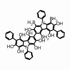 Bc1c(-c2c(O)c(O)c3c(c2O)c2c(O)c(-c4ccccc4)c(O)c(O)c2n3-c2ccccc2)c(O)c(B)c2c1c1c(O)c(-c3ccccc3)c(O)c(B)c1n2-c1ccccc1